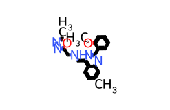 COc1ccccc1-c1nc(CNCc2nnc(C)o2)c2ccc(C)cc2n1